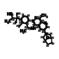 Cc1nnc(N[C@H](C)c2cccc(C(F)(F)C(C)O)c2F)c2cc(N3CC4CCC(C3)O4)cnc12